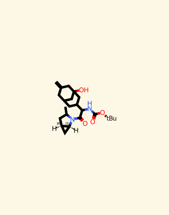 C=C1CC2CC(C(NC(=O)OC(C)(C)C)C(=O)N3C(C)C[C@@H]4C[C@@H]43)CC(O)(C1)C2